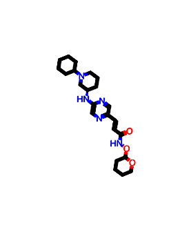 O=C(/C=C/c1cnc(N[C@@H]2CCCN(C3CCCCC3)C2)cn1)NOC1CCCCO1